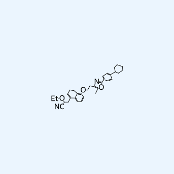 CCOC(C#N)CC1=CCCc2c(OCCc3nc(-c4ccc(C5CCCCC5)cc4)oc3C)cccc21